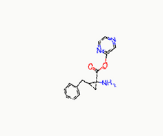 NC1(C(=O)Oc2cnccn2)CC1Cc1ccccc1